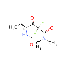 CC[C@H](NC=O)C(=O)C(F)(F)C(=O)N(C)C